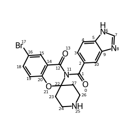 O=C(c1ccc2[nH]cnc2c1)N1C(=O)c2cc(Br)ccc2OC12CCNCC2